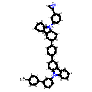 N#Cc1ccc(-c2cccc(-n3c4ccccc4c4cc(-c5ccc(-c6ccc7c(c6)c6ccccc6n7-c6cccc(C7CN7)c6)cc5)ccc43)c2)cc1